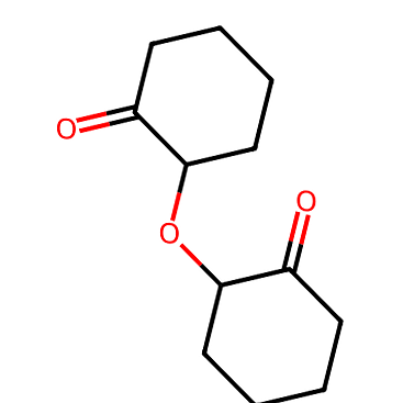 O=C1CCCCC1OC1CCCCC1=O